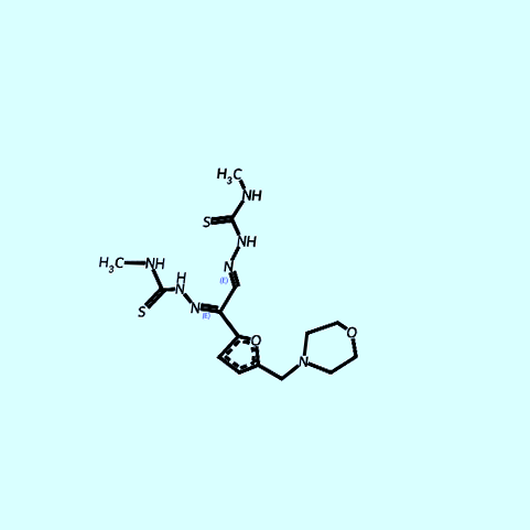 CNC(=S)N/N=C/C(=N\NC(=S)NC)c1ccc(CN2CCOCC2)o1